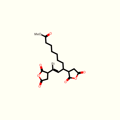 CC/C(=C\C(CCCCCCC(=O)OC)C1CC(=O)OC1=O)C1CC(=O)OC1=O